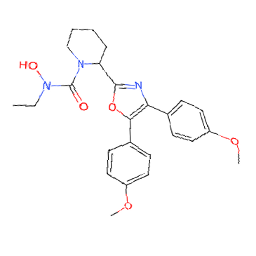 CCN(O)C(=O)N1CCCCC1c1nc(-c2ccc(OC)cc2)c(-c2ccc(OC)cc2)o1